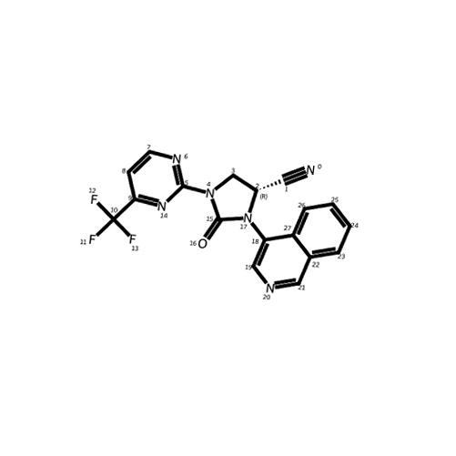 N#C[C@H]1CN(c2nccc(C(F)(F)F)n2)C(=O)N1c1cncc2ccccc12